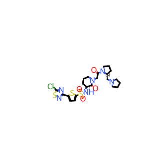 O=C1[C@@H](NS(=O)(=O)c2ccc(-c3nsc(Cl)n3)s2)CCCN1CC(=O)N1CCC[C@H]1CN1CCCC1